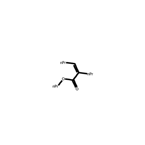 CCCC=C(CCC)C(=O)OCCC